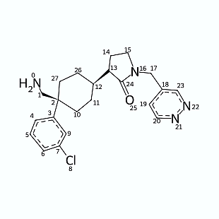 NC[C@]1(c2cccc(Cl)c2)CC[C@H](C2CCN(Cc3ccnnc3)C2=O)CC1